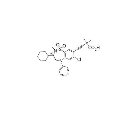 CN1[C@H](C2CCCCC2)CN(c2ccccc2)c2cc(Cl)c(C#CC(C)(C)C(=O)O)cc2S1(=O)=O